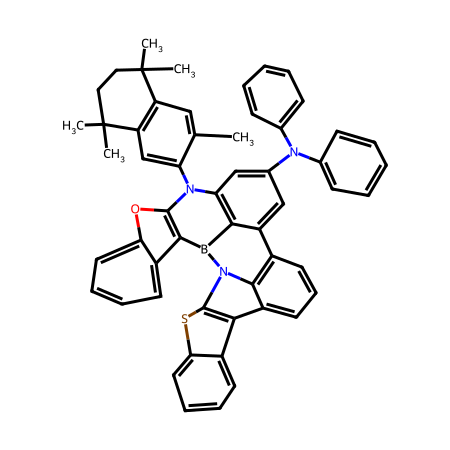 Cc1cc2c(cc1N1c3cc(N(c4ccccc4)c4ccccc4)cc4c3B(c3c1oc1ccccc31)n1c3sc5ccccc5c3c3cccc-4c31)C(C)(C)CCC2(C)C